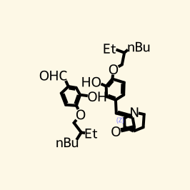 CCCCC(CC)COc1ccc(/C=C2/C(=O)C3CCN2CC3)cc1O.CCCCC(CC)COc1ccc(C=O)cc1O